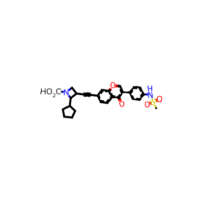 CS(=O)(=O)Nc1ccc(-c2coc3cc(C#CC4CN(C(=O)O)C4C4CCCC4)ccc3c2=O)cc1